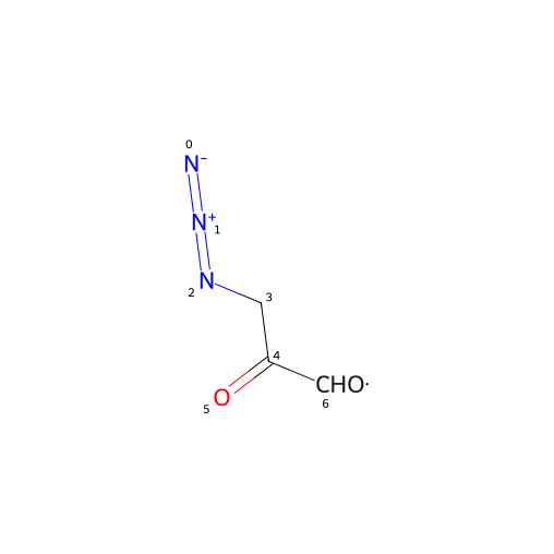 [N-]=[N+]=NCC(=O)[C]=O